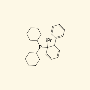 CC(C)C1(P(C2CCCCC2)C2CCCCC2)C=CC=CC1c1ccccc1